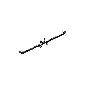 CC(O)CCCCCCCCCCCCCCCCC(=O)NCC(O)CNC(=O)CCCCCCCCCCCCCCCCC(C)O